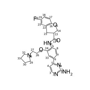 Nc1nccc(-c2ccc(NC(=O)C3COc4ccc(F)cc4C3)c(OCCN3CCCC3)c2)n1